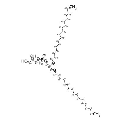 CCCCCCCCCCCCCCCCCCOCC(COP(=O)(O)OCC(O)CO)OCCCCCCCCCCCCCCCCCC